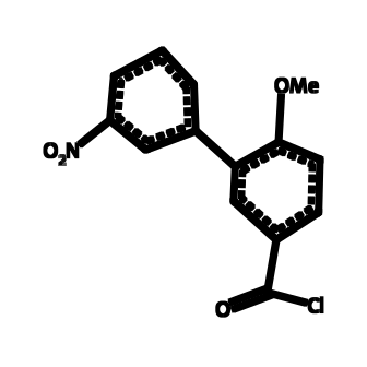 COc1ccc(C(=O)Cl)cc1-c1cccc([N+](=O)[O-])c1